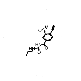 C#Cc1ccc(C(=O)NC(=O)NCCC)cc1[N+](=O)[O-]